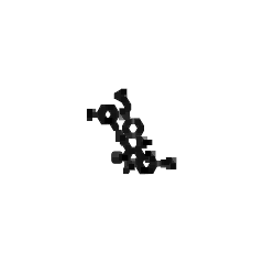 Cc1cc(F)ccc1N(CC1CC1)[C@H]1CC[C@@H](N(C)c2c(C#N)c(=O)n(C)c3ccc(C#N)nc23)CC1